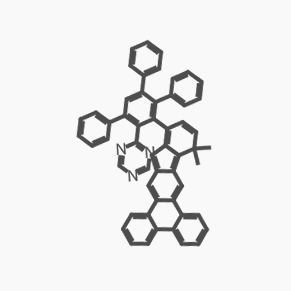 CC1(C)C=CC(c2c(-c3ccccc3)c(-c3ccccc3)cc(-c3ccccc3)c2-c2ncncn2)=C2C=c3cc4c5ccccc5c5ccccc5c4cc3=C21